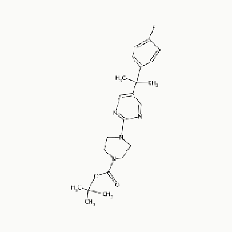 CC(C)(C)OC(=O)N1CCN(c2ncc(C(C)(C)c3ccc(F)cc3)cn2)CC1